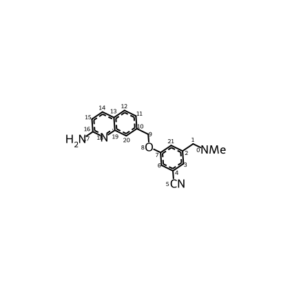 CNCc1cc(C#N)cc(OCc2ccc3ccc(N)nc3c2)c1